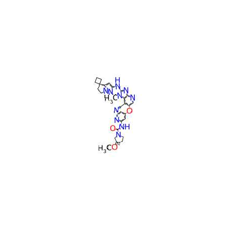 CO[C@H]1CCN(C(=O)Nc2cc(Oc3cnc4nc(Nc5cc6n(n5)CCC65CCC5)n(C)c4c3C#N)ccn2)C1